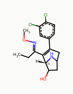 CCC(=NOC)C1=C(c2ccc(Cl)c(Cl)c2)CC2CC(O)[C@H]1N2